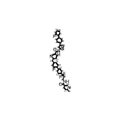 Cc1ccc(C(=O)NCCC(F)(F)c2ccc(-c3ccc(Cc4ccc(C(=O)Nc5cc(-c6ccc(-c7ccccc7F)cc6)no5)cn4)cc3F)cc2)cn1